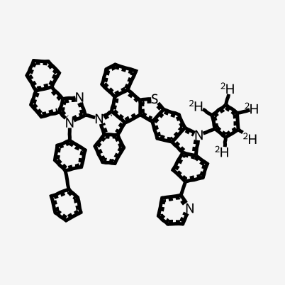 [2H]c1c([2H])c([2H])c(-n2c3ccc(-c4ccccn4)cc3c3cc4c(cc32)sc2c3ccccc3c3c(c5ccccc5n3-c3nc5c6ccccc6ccc5n3-c3ccc(-c5ccccc5)cc3)c42)c([2H])c1[2H]